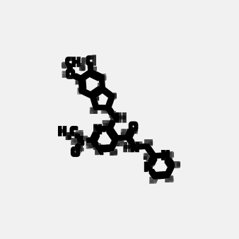 COc1cc2c(cc1Cl)CC(Nc1nc([S+](C)[O-])ncc1C(=O)NCc1ncccn1)C2